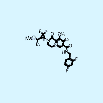 CCC(OC)C1[C@@H](N2CCn3cc(C(=O)NCc4ccc(F)cc4F)c(=O)c(O)c3C2=O)C1(F)F